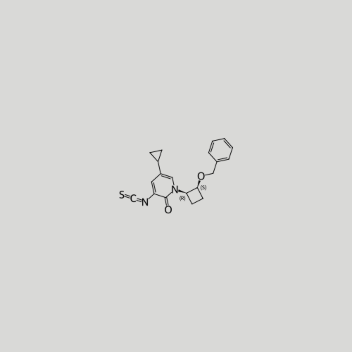 O=c1c(N=C=S)cc(C2CC2)cn1[C@@H]1CC[C@@H]1OCc1ccccc1